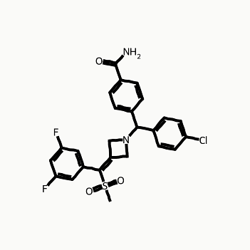 CS(=O)(=O)C(=C1CN(C(c2ccc(Cl)cc2)c2ccc(C(N)=O)cc2)C1)c1cc(F)cc(F)c1